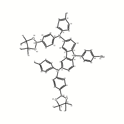 Cc1ccc(N(c2ccc(B3OC(C)(C)C(C)(C)O3)cc2)c2ccc3c(c2)c2cc(N(c4ccc(C)cc4)c4ccc(B5OC(C)(C)C(C)(C)O5)cc4)ccc2n3-c2ccc(C(C)(C)C)cc2)cc1